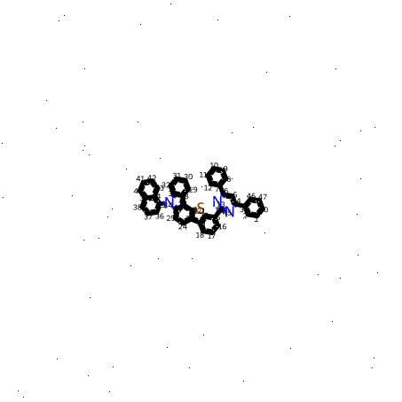 c1ccc(-c2cc(-c3ccccc3)nc(-c3cccc4c3sc3c4ccc4c3c3ccccc3n4-c3cccc4ccccc34)n2)cc1